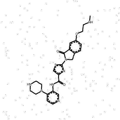 CNCCOc1ccc2c(c1)C(=O)N(c1nc(C(=O)Nc3cnccc3N3CCNCC3)cs1)C2